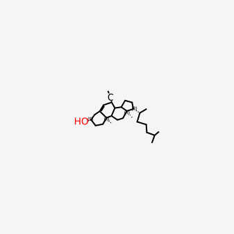 CCC1C=C2C[C@@H](O)CC[C@]2(C)C2CC[C@@]3(C)C(CC[C@@H]3C(C)CCCC(C)C)C12